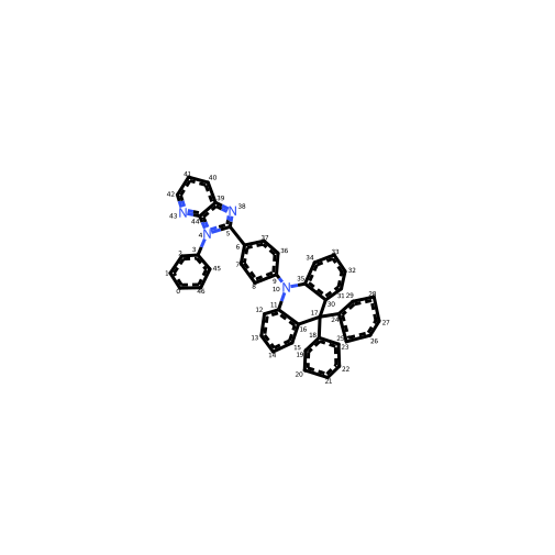 c1ccc(-n2c(-c3ccc(N4c5ccccc5C(c5ccccc5)(c5ccccc5)c5ccccc54)cc3)nc3cccnc32)cc1